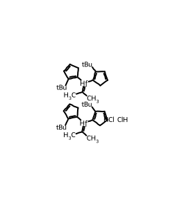 C[C](C)=[Hf]([C]1=C(C(C)(C)C)C=CC1)[C]1=C(C(C)(C)C)C=CC1.C[C](C)=[Hf]([C]1=C(C(C)(C)C)C=CC1)[C]1=C(C(C)(C)C)C=CC1.Cl.Cl